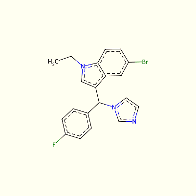 CCn1cc(C(c2ccc(F)cc2)n2ccnc2)c2cc(Br)ccc21